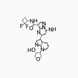 CNc1cc(-c2cnc3n([C@H]4COC[C@@H]4O)cccc2-3)nc2c(C(=O)NC3CCC3(F)F)cnn12